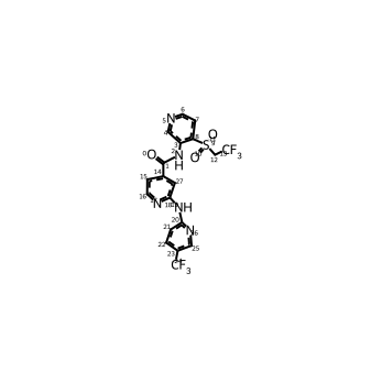 O=C(Nc1cnccc1S(=O)(=O)CC(F)(F)F)c1ccnc(Nc2ccc(C(F)(F)F)cn2)c1